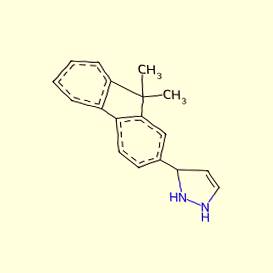 CC1(C)c2ccccc2-c2ccc(C3C=CNN3)cc21